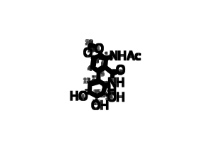 CC(=O)Nc1c2c(cc3c1C(=O)N[C@@H]1C3=C[C@H](O)[C@@H](O)[C@H]1O)OCO2